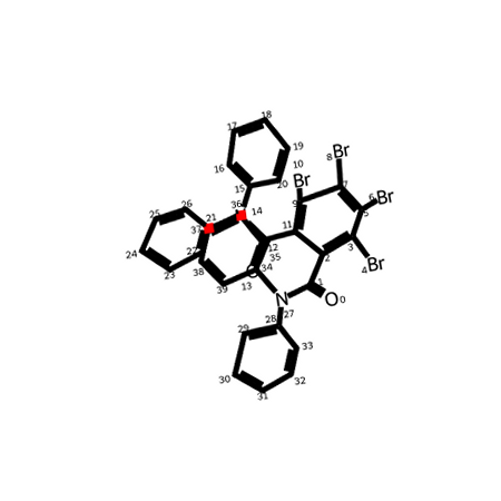 O=C(c1c(Br)c(Br)c(Br)c(Br)c1C(=O)N(c1ccccc1)c1ccccc1)N(c1ccccc1)c1ccccc1